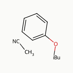 CC#N.CCC(C)Oc1ccccc1